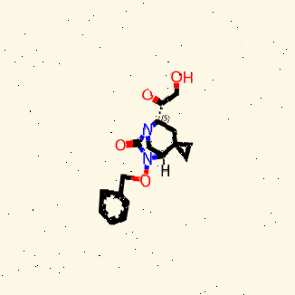 O=C(CO)[C@@H]1CC2(CC2)[C@@H]2CN1C(=O)N2OCc1ccccc1